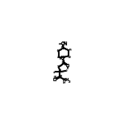 CC(C)(CC(=O)N1CCC(C#N)CC1)C(N)=O